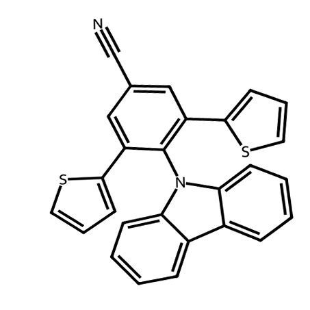 N#Cc1cc(-c2cccs2)c(-n2c3ccccc3c3ccccc32)c(-c2cccs2)c1